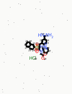 COC(=O)CN(C(=O)[C@@](N)(Cc1cccc(C(=N)N)c1)S(=O)(=O)c1ccc2ccccc2c1)C1(C)CCCCN1.Cl